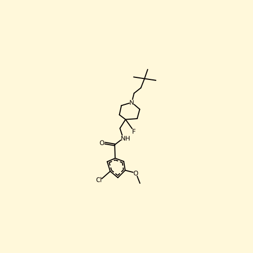 COc1cc(Cl)cc(C(=O)NCC2(F)CCN(CCC(C)(C)C)CC2)c1